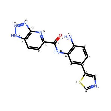 Nc1ccc(-c2cncs2)cc1NC(=O)c1ccc2[nH]nnc2n1